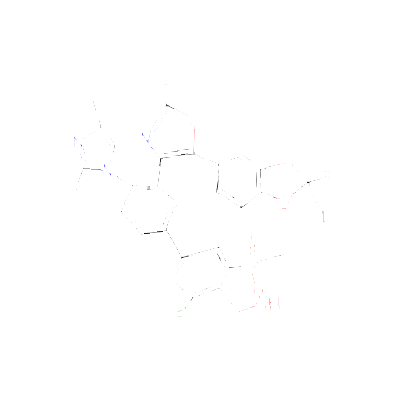 Cc1cn(-c2ccc(-c3cc(F)c(CO)c(S(C)(=O)=O)c3)cc2-c2nc(C(C)C)oc2-c2ccc3c(c2)OC(F)(F)O3)c(C)n1